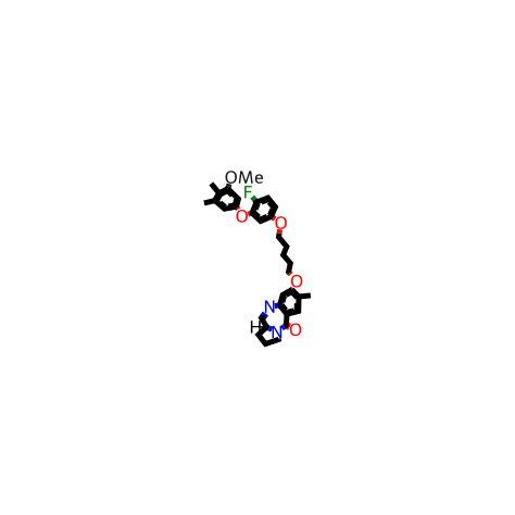 COc1cc(Oc2cc(OCCCCCOc3cc4c(cc3C)C(=O)N3CCC[C@H]3C=N4)ccc2F)cc(C)c1C